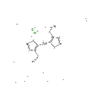 CC(C)CC1=[C]([Zr+2][C]2=C(CC(C)C)C=CC2)CC=C1.[Br-].[Br-]